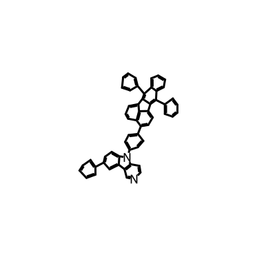 c1ccc(-c2ccc3c(c2)c2cnccc2n3-c2ccc(-c3ccc4c5c(cccc35)-c3c-4c(-c4ccccc4)c4ccccc4c3-c3ccccc3)cc2)cc1